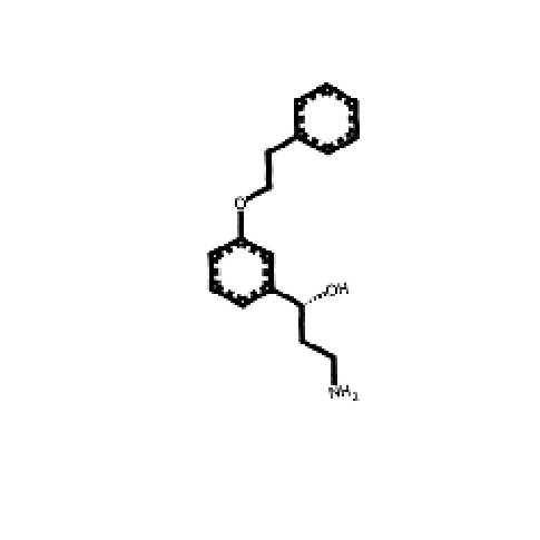 NCC[C@@H](O)c1cccc(OCCc2ccccc2)c1